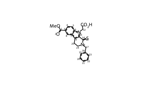 COC(=O)c1ccc2c(c1)c1c(n2CC(=O)O)C(=S)N(Cc2ccccc2)CC1